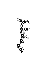 CC1(C)CCC(CN2CCN(c3ccc(C(=O)NS(=O)(=O)c4ccc(NC[C@H]5CC[C@@H](NCCc6cccc7c6CN(C6CCC(=O)NC6=O)C7=O)CC5)c([N+](=O)[O-])c4)c(Oc4cnc5[nH]ccc5c4)c3)CC2)=C(c2ccc(Cl)cc2)C1